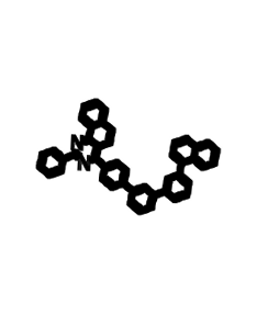 c1ccc(-c2nc(-c3ccc(-c4cccc(-c5cccc(-c6cccc7ccccc67)c5)c4)cc3)c3ccc4ccccc4c3n2)cc1